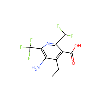 CCc1c(N)c(C(F)(F)F)nc(C(F)F)c1C(=O)O